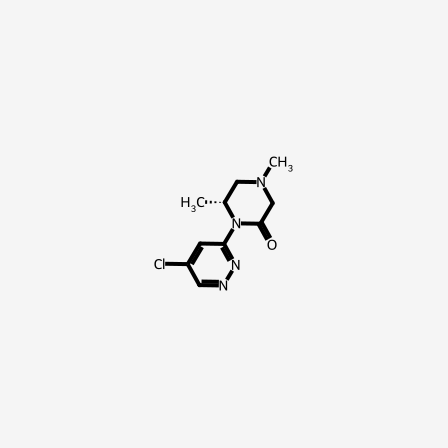 C[C@@H]1CN(C)CC(=O)N1c1cc(Cl)cnn1